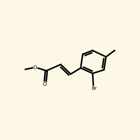 COC(=O)C=Cc1ccc(C)cc1Br